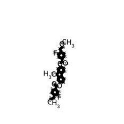 CCCc1ccc(C(=O)Oc2ccc3c(c2)C(C)c2cc(OC(=O)c4ccc(CCOC)c(F)c4)ccc2-3)cc1F